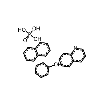 O=P(O)(O)O.Oc1ccccc1.c1ccc2ccccc2c1.c1ccc2ncccc2c1